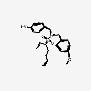 C=CCCC(CC)S(=O)(=O)N(Cc1ccc(O)cc1)Cc1ccc(OC)cc1